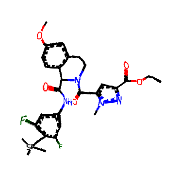 CCOC(=O)c1cc(C(=O)N2CCc3cc(OC)ccc3C2C(=O)Nc2cc(F)c([Si](C)(C)C)c(F)c2)n(C)n1